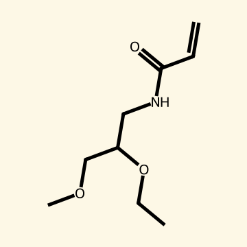 C=CC(=O)NCC(COC)OCC